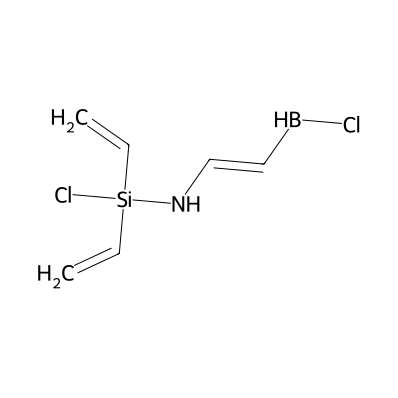 C=C[Si](Cl)(C=C)NC=CBCl